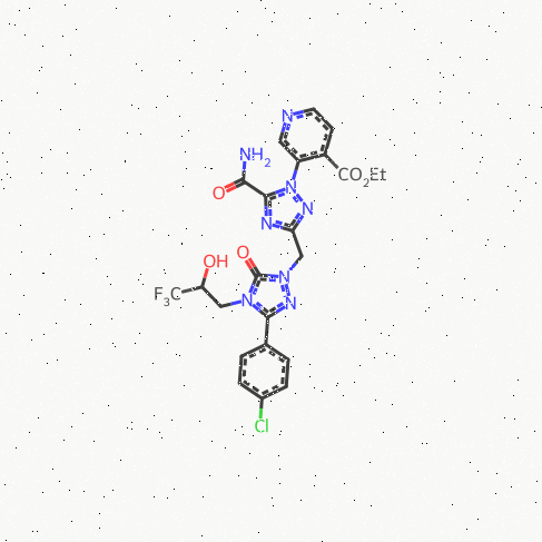 CCOC(=O)c1ccncc1-n1nc(Cn2nc(-c3ccc(Cl)cc3)n(CC(O)C(F)(F)F)c2=O)nc1C(N)=O